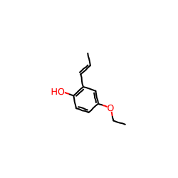 CC=Cc1cc(OCC)ccc1O